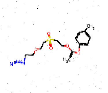 C=C(OCCS(=O)(=O)CCOCCN=[N+]=[N-])Oc1ccc(C)cc1